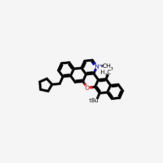 Cc1c2c(c(C(C)(C)C)c3ccccc13)Oc1cc3c(CC4CCCC4)cccc3c3cc[n+](C)c-2c13